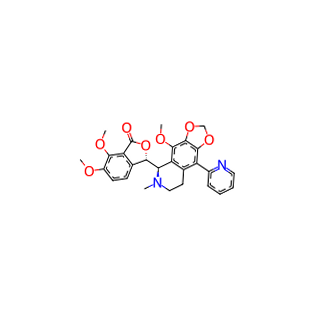 COc1ccc2c(c1OC)C(=O)O[C@@H]2[C@H]1c2c(c(-c3ccccn3)c3c(c2OC)OCO3)CCN1C